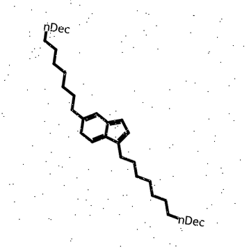 CCCCCCCCCCCCCCCCCC1=CC2=CC=C(CCCCCCCCCCCCCCCCC)C2=CC1